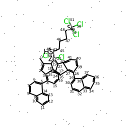 CC1=Cc2c(-c3cccc4ccccc34)cccc2[CH]1[Zr]([Cl])([Cl])([CH]1C(C)=Cc2c(-c3cccc4ccccc34)cccc21)[SiH](C)CCCC[Si](Cl)(Cl)Cl